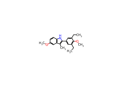 CCc1cc(-c2[nH]c3ccc(OC)cc3c2C)cc(CC)c1OC